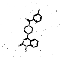 O=C(c1cccc(Cl)c1)N1CCN(c2nc(=O)n(O)c3ncccc23)CC1